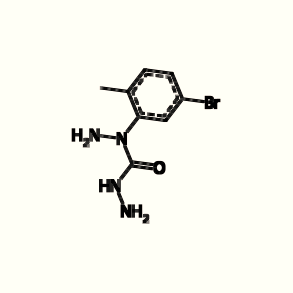 Cc1ccc(Br)cc1N(N)C(=O)NN